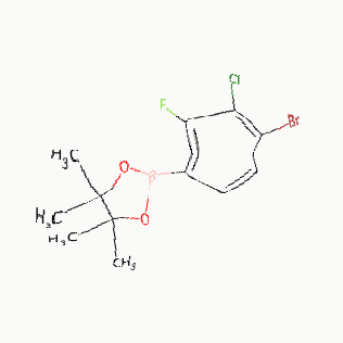 CC1(C)OB(c2ccc(Br)c(Cl)c2F)OC1(C)C